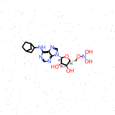 O[C@@H]1[C@H](O)[C@@H](CON(O)O)O[C@H]1n1cnc2c(NC3CC4CCC3C4)ncnc21